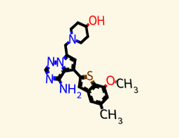 COc1cc(C)cc2cc(-c3cc(CN4CCC(O)CC4)n4ncnc(N)c34)sc12